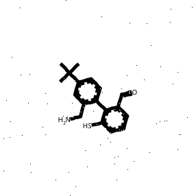 CC(C)(C)c1ccc(-c2c(S)cccc2C=O)c(CN)c1